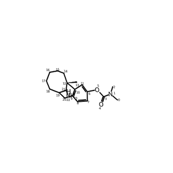 CN(C)C(=O)Oc1ccc2c(c1)[C@@]1(C)CCCCCC(C2)[C@@H]1N